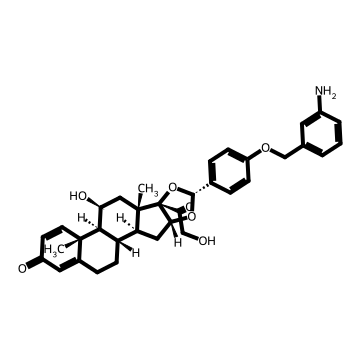 C[C@]12C=CC(=O)C=C1CC[C@@H]1[C@@H]2[C@@H](O)C[C@@]2(C)[C@H]1C[C@H]1O[C@@H](c3ccc(OCc4cccc(N)c4)cc3)O[C@]12C(=O)CO